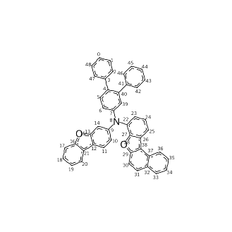 c1ccc(-c2ccc(N(c3ccc4c(c3)oc3ccccc34)c3cccc4c3oc3ccc5ccccc5c34)cc2-c2ccccc2)cc1